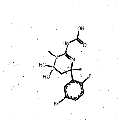 CN1C(NC(=O)O)=N[C@](C)(c2cc(Br)ccc2F)CS1(O)O